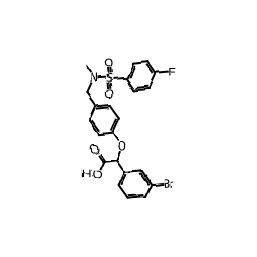 CN(Cc1ccc(OC(C(=O)O)c2cccc(Br)c2)cc1)S(=O)(=O)c1ccc(F)cc1